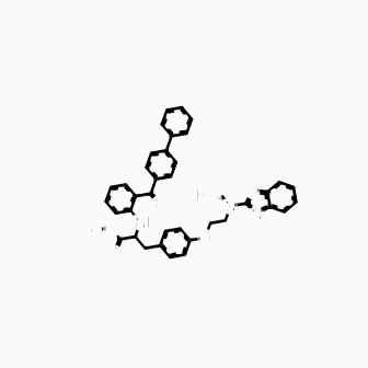 COC(=O)C(Cc1ccc(OCCN(C)c2nc3ccccc3o2)cc1)Nc1ccccc1C(=O)c1ccc(-c2ccccc2)cc1